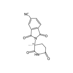 C[C@]1(N2C(=O)c3ccc(C#N)cc3C2=O)CCC(=O)NC1=O